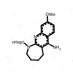 CCCCCCCN1CCCCc2c1nc1cc(OC)ccc1c2N